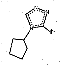 CC(C)c1nncn1C1CCCC1